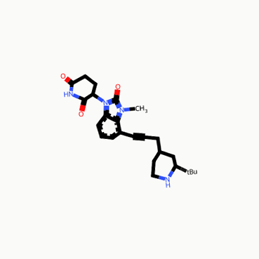 Cn1c(=O)n(C2CCC(=O)NC2=O)c2cccc(C#CCC3CCNC(C(C)(C)C)C3)c21